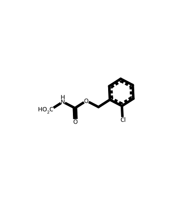 O=C(O)NC(=O)OCc1ccccc1Cl